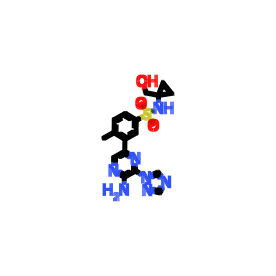 Cc1ccc(S(=O)(=O)NC2(CO)CC2)cc1-c1cnc(N)c(-n2cncn2)n1